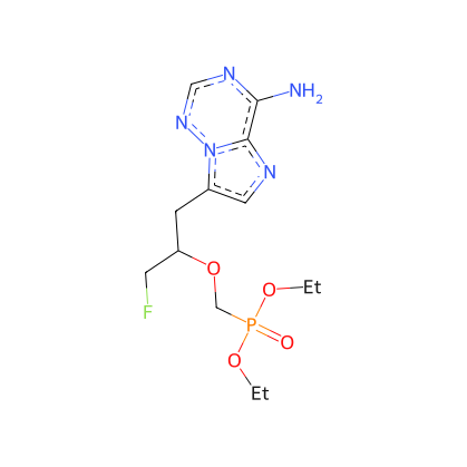 CCOP(=O)(COC(CF)Cc1cnc2c(N)ncnn12)OCC